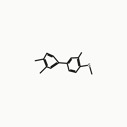 CSc1ccc(-c2ccc(C)c(C)c2)cc1C